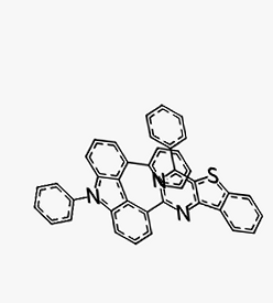 c1ccc(-c2nc(-c3cccc4c3c3c(-c5ccccc5)cccc3n4-c3ccccc3)nc3c2sc2ccccc23)cc1